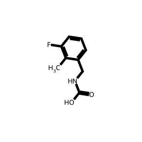 Cc1c(F)cccc1CNC(=O)O